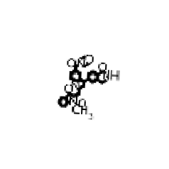 CC(=O)N1C(=Cc2cc(-c3ccc4c(c3)CCNC4=O)c3cc(C(=O)N4CCOCC4)ccc3n2)C(=O)c2ccccc21